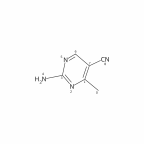 Cc1nc(N)ncc1C#N